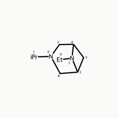 CCN1C2CC1CN(C(C)C)C2